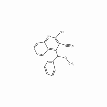 COC(c1ccccc1)c1c(C#N)c(N)nc2cnccc12